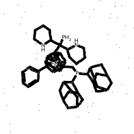 PC(C1CCCCN1)(C1CCCCN1)[C]12[CH]3[C]4(c5ccccc5)[CH]5[C]1(CP(C1C6CC7CC(C6)CC1C7)C1C6CC7CC(C6)CC1C7)[Fe]53421678[CH]2[CH]1[CH]6[CH]7[CH]28